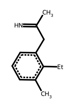 CCc1c(C)cccc1CC(C)=N